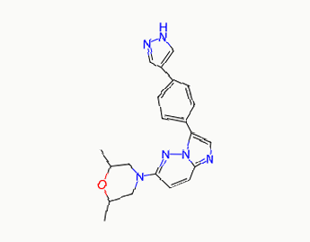 CC1CN(c2ccc3ncc(-c4ccc(-c5cn[nH]c5)cc4)n3n2)CC(C)O1